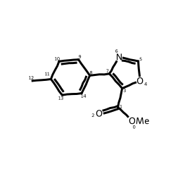 COC(=O)c1ocnc1-c1ccc(C)cc1